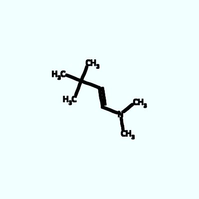 CN(C)C=CC(C)(C)C